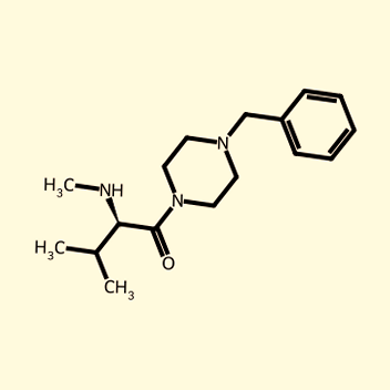 CN[C@@H](C(=O)N1CCN(Cc2ccccc2)CC1)C(C)C